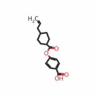 C=CCC1CCC(C(=O)Oc2ccc(C(=O)O)cc2)CC1